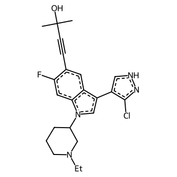 CCN1CCCC(n2cc(-c3c[nH]nc3Cl)c3cc(C#CC(C)(C)O)c(F)cc32)C1